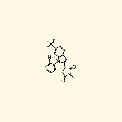 CN1C(=O)CC(c2cc3ccc(C(F)(F)F)cc3n2-c2ccccc2N)C1=O